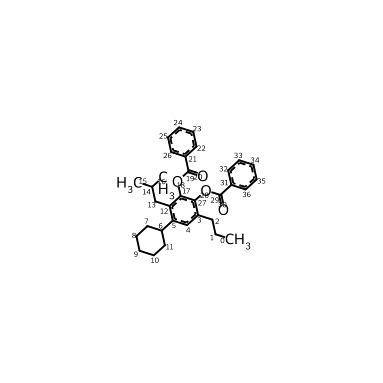 CCCc1cc(C2CCCCC2)c(CC(C)C)c(OC(=O)c2ccccc2)c1OC(=O)c1ccccc1